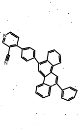 N#Cc1cnccc1-c1ccc(-c2cc3c4ccccc4c(-c4ccccc4)cc3c3ccccc23)cc1